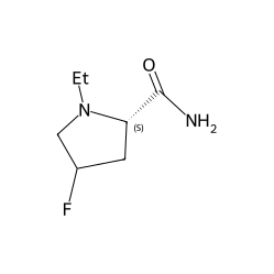 CCN1CC(F)C[C@H]1C(N)=O